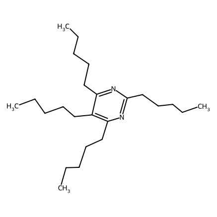 CCCCCc1nc(CCCCC)c(CCCCC)c(CCCCC)n1